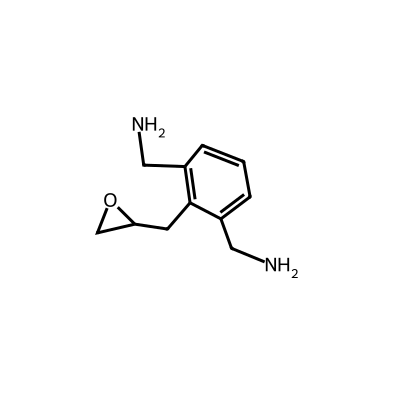 NCc1cccc(CN)c1CC1CO1